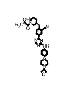 C[C@H](O)C(=O)N1CCC[C@@H](Cc2ccc(-c3ncnc(Nc4ccc(N5CCN(C6COC6)CC5)cc4)n3)cc2C#N)C1